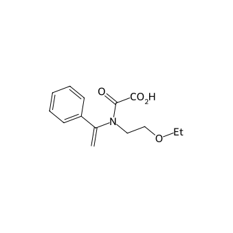 C=C(c1ccccc1)N(CCOCC)C(=O)C(=O)O